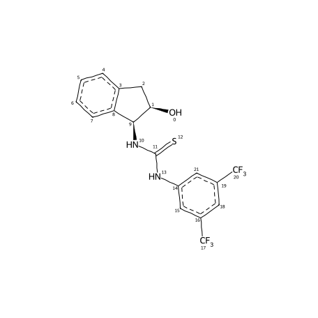 O[C@@H]1Cc2ccccc2[C@@H]1NC(=S)Nc1cc(C(F)(F)F)cc(C(F)(F)F)c1